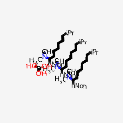 CCCCCCCCCC(CCCCCCC(C)C)N(C)C.CCCCCCCCCC(CCCCCCC(C)C)N(C)C.CCCCCCCCCC(CCCCCCC(C)C)N(C)C.OB(O)O